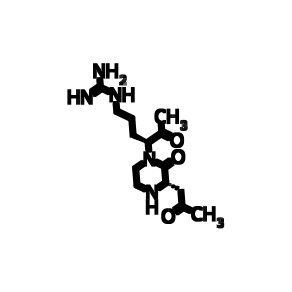 CC(=O)C[C@@H]1NCCN([C@@H](CCCNC(=N)N)C(C)=O)C1=O